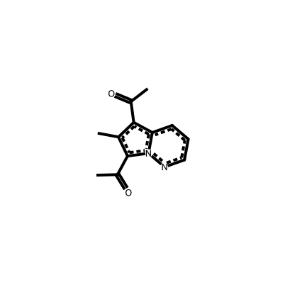 CC(=O)c1c(C)c(C(C)=O)n2ncccc12